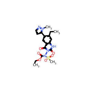 CCOC(=O)N(n1c(=O)[nH]c2cc(CC)c(-c3ccnn3C)cc2c1=O)S(C)(=O)=O